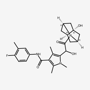 Cc1cc(NC(=O)c2c(C)c(C(O)C(=O)N3[C@@H]4C[C@H]5C[C@H]3C[C@@]5(O)C4)n(C)c2C)ccc1F